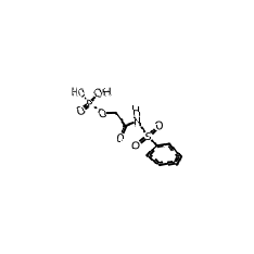 O=C(COP(=O)(O)O)NS(=O)(=O)c1ccccc1